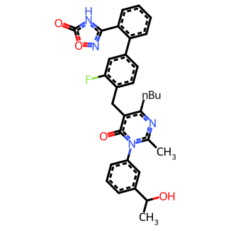 CCCCc1nc(C)n(-c2cccc(C(C)O)c2)c(=O)c1Cc1ccc(-c2ccccc2-c2noc(=O)[nH]2)cc1F